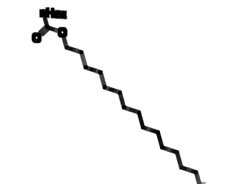 CCCCCCC(=O)OCCCCCCCCCCCCCCC(C)C